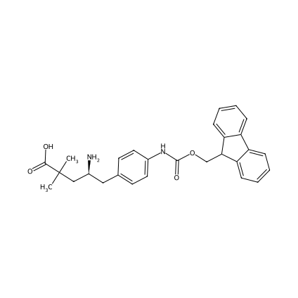 CC(C)(C[C@@H](N)Cc1ccc(NC(=O)OCC2c3ccccc3-c3ccccc32)cc1)C(=O)O